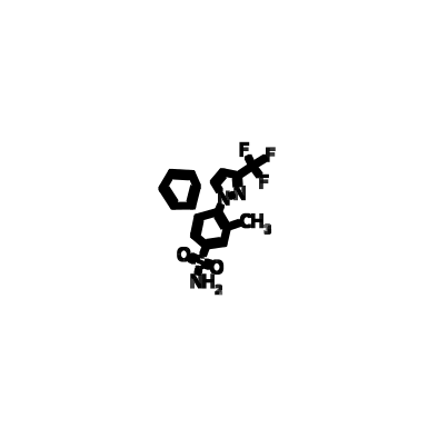 Cc1cc(S(N)(=O)=O)ccc1-n1ccc(C(F)(F)F)n1.c1ccccc1